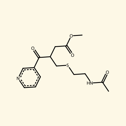 COC(=O)CC(CSCCNC(C)=O)C(=O)c1cccnc1